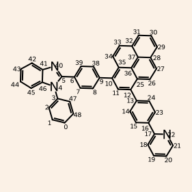 c1ccc(-n2c(-c3ccc(-c4cc(-c5ccc(-c6ccccn6)cc5)c5ccc6cccc7ccc4c5c67)cc3)nc3ccccc32)cc1